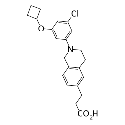 O=C(O)CCc1ccc2c(c1)CCN(c1cc(Cl)cc(OC3CCC3)c1)C2